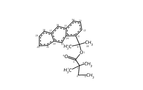 CCC(C)(C)C(=O)OC(C)(C)c1cccc2cc3ccccc3cc12